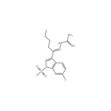 CCCCC(=NNC(=N)N)c1cn(S(C)(=O)=O)c2cc(F)ccc12